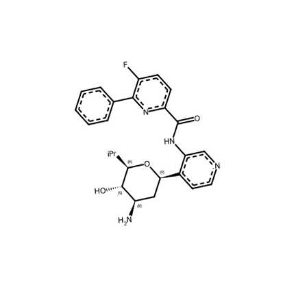 CC(C)[C@H]1O[C@@H](c2ccncc2NC(=O)c2ccc(F)c(-c3ccccc3)n2)C[C@@H](N)[C@@H]1O